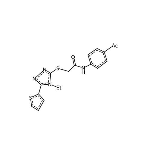 CCn1c(SCC(=O)Nc2ccc(C(C)=O)cc2)nnc1-c1cccs1